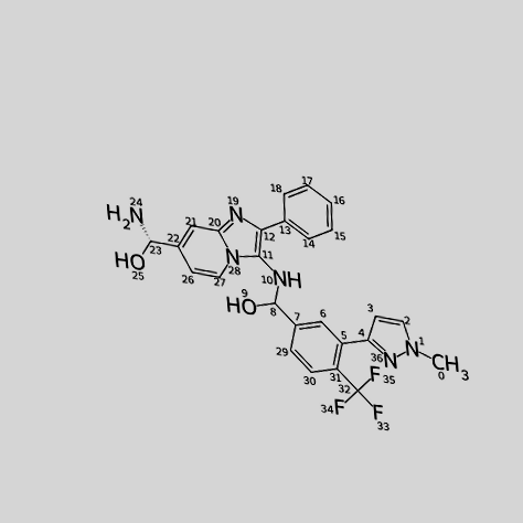 Cn1ccc(-c2cc(C(O)Nc3c(-c4ccccc4)nc4cc([C@@H](N)O)ccn34)ccc2C(F)(F)F)n1